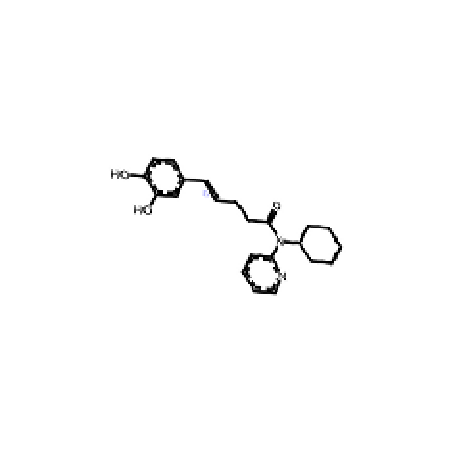 O=C(CC/C=C/c1ccc(O)c(O)c1)N(c1ccccn1)C1CCCCC1